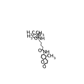 Cc1c(NC(=O)CCCCNS(=O)(=O)C(C)(C)C)ccc2oc(=O)ccc12